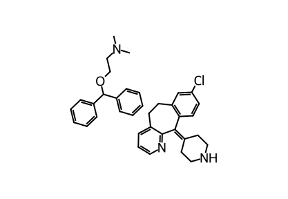 CN(C)CCOC(c1ccccc1)c1ccccc1.Clc1ccc2c(c1)CCc1cccnc1C2=C1CCNCC1